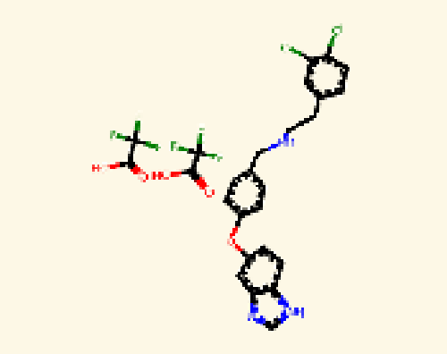 Clc1ccc(CCNCc2ccc(Oc3ccc4[nH]cnc4c3)cc2)cc1Cl.O=C(O)C(F)(F)F.O=C(O)C(F)(F)F